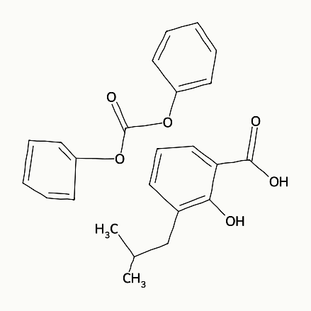 CC(C)Cc1cccc(C(=O)O)c1O.O=C(Oc1ccccc1)Oc1ccccc1